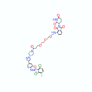 C[C@@H](Oc1cc(-c2cnn(C3CCN(C(=O)CCOCCOCCOCCNc4cccc5c4C(=O)N(C4CCC(=O)NC4=O)C5=O)CC3)c2)cnc1N)c1c(Cl)ccc(F)c1Cl